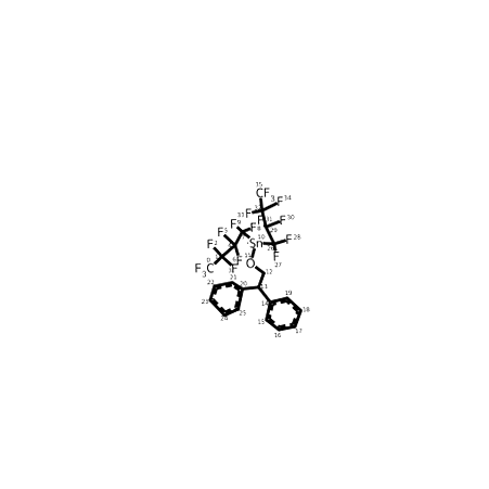 FC(F)(F)C(F)(F)C(F)(F)[C](F)(F)[Sn]([O]CC(c1ccccc1)c1ccccc1)[C](F)(F)C(F)(F)C(F)(F)C(F)(F)F